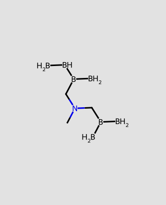 BBB(B)CN(C)CB(B)B